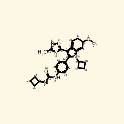 CCOC1C=c2c(c(-c3nc(C)no3)c(-c3ccc(NC(=O)NC4CCC4)cc3)n2C2CCC2)=CC1